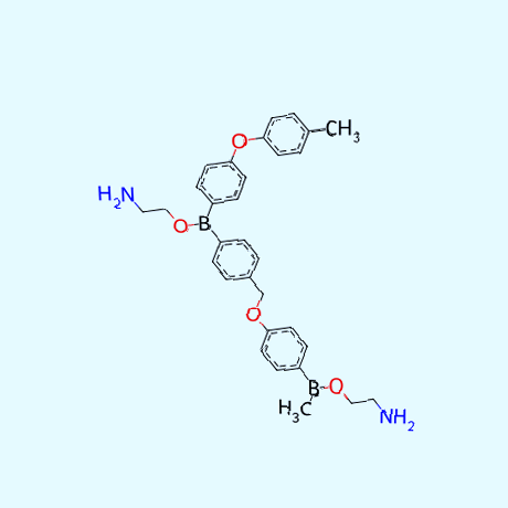 CB(OCCN)c1ccc(OCc2ccc(B(OCCN)c3ccc(Oc4ccc(C)cc4)cc3)cc2)cc1